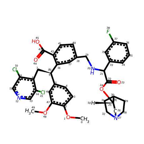 COc1ccc([C@@H](Cc2c(Cl)cncc2Cl)c2cc(CNC(C(=O)O[C@H]3CN4CCC3CC4)c3cccc(F)c3)ccc2C(=O)O)cc1OC